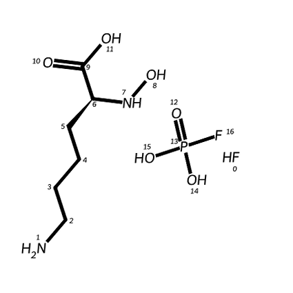 F.NCCCC[C@H](NO)C(=O)O.O=P(O)(O)F